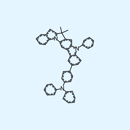 CC1(C)c2cc3c(cc2-n2c1cc1ccccc12)c1cc(-c2ccc(N(c4ccccc4)c4ccccc4)cc2)ccc1n3-c1ccccc1